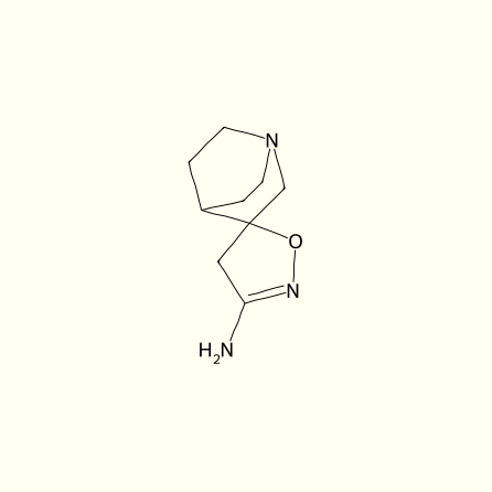 NC1=NOC2(C1)CN1CCC2CC1